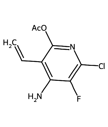 C=Cc1c(OC(C)=O)nc(Cl)c(F)c1N